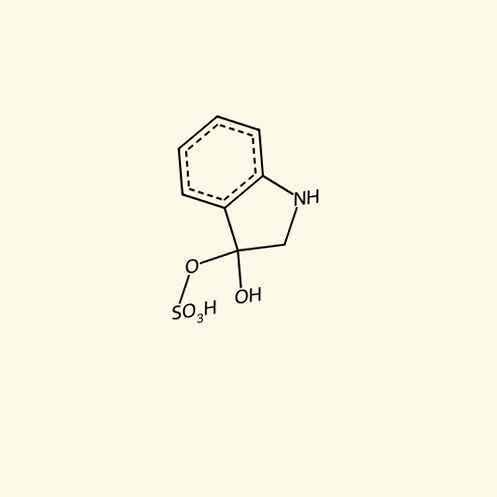 O=S(=O)(O)OC1(O)CNc2ccccc21